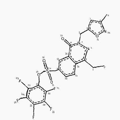 CCc1nn(Cc2cc(C)no2)c(=O)c2cc(S(=O)(=O)Oc3c(F)c(F)c(F)c(F)c3F)ccc12